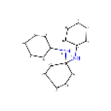 C1CCC(NC2(NC3CCCCC3)CCCCC2)CC1